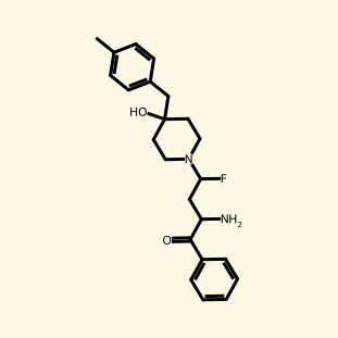 Cc1ccc(CC2(O)CCN(C(F)CC(N)C(=O)c3ccccc3)CC2)cc1